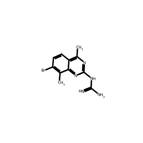 Cc1nc(NC(=N)N)nc2c(C)c(Br)ccc12